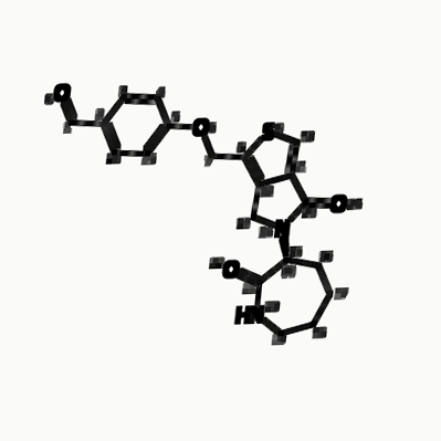 O=Cc1ccc(OCc2scc3c2CN([C@H]2CCCCNC2=O)C3=O)cc1